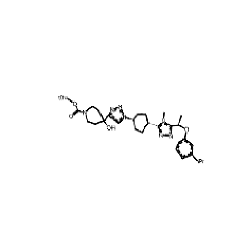 CC(C)c1cccc(O[C@H](C)c2nnc([C@H]3CC[C@H](n4cc(C5(O)CCN(C(=O)OC(C)(C)C)CC5)nn4)CC3)n2C)c1